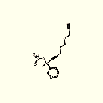 C#CCOCCCC#CC(C)(O[SH](=O)=O)c1cccnc1